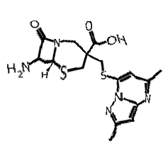 Cc1cc(SCC2(C(=O)O)CS[C@@H]3C(N)C(=O)N3C2)n2nc(C)cc2n1